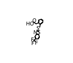 O=C(O)Cc1ccccc1CSc1nc2cc(C(F)(F)F)ccc2s1